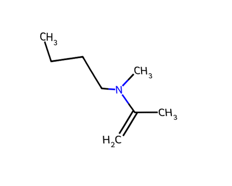 C=C(C)N(C)CCCC